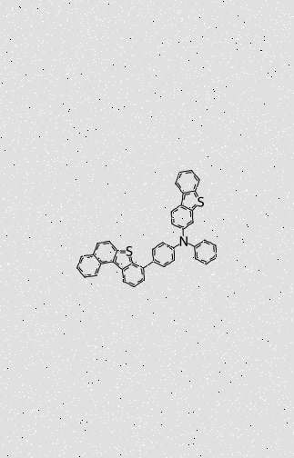 c1ccc(N(c2ccc(-c3cccc4c3sc3ccc5ccccc5c34)cc2)c2ccc3c(c2)sc2ccccc23)cc1